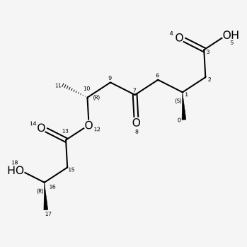 C[C@H](CC(=O)O)CC(=O)C[C@@H](C)OC(=O)C[C@@H](C)O